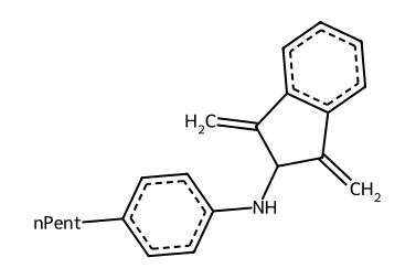 C=C1c2ccccc2C(=C)C1Nc1ccc(CCCCC)cc1